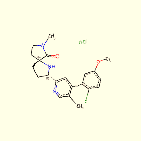 CCOc1ccc(F)c(-c2cc([C@@H]3CC[C@]4(CCN(C)C4=O)N3)ncc2C)c1.Cl